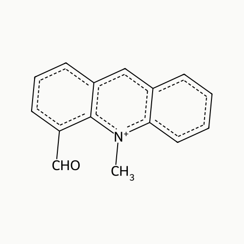 C[n+]1c2ccccc2cc2cccc(C=O)c21